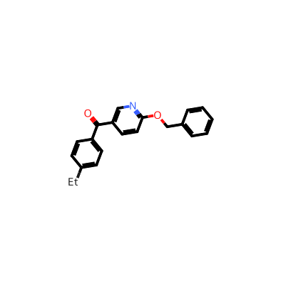 CCc1ccc(C(=O)c2ccc(OCc3ccccc3)nc2)cc1